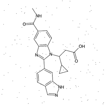 CNC(=O)c1ccc2c(c1)nc(-c1ccc3cn[nH]c3c1)n2C(CC(=O)O)C1CC1